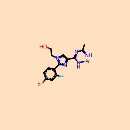 CC(=N)/N=C(\NC(C)C)c1cn(CCO)c(-c2ccc(Br)cc2F)n1